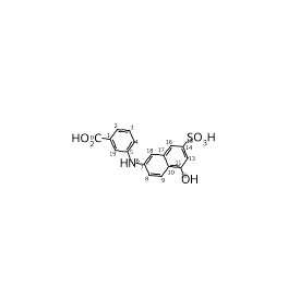 O=C(O)c1cccc(Nc2ccc3c(O)cc(S(=O)(=O)O)cc3c2)c1